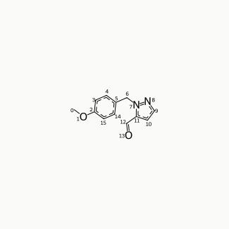 COc1ccc(Cn2nccc2C=O)cc1